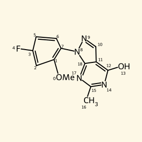 COc1cc(F)ccc1-n1ncc2c(O)nc(C)nc21